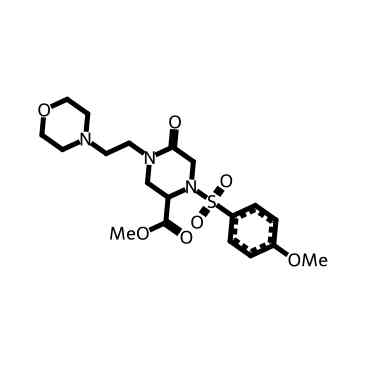 COC(=O)C1CN(CCN2CCOCC2)C(=O)CN1S(=O)(=O)c1ccc(OC)cc1